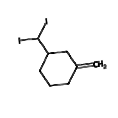 C=C1CCCC(C(I)I)C1